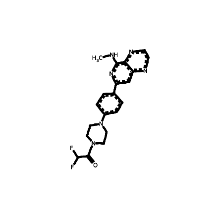 CNc1nc(-c2ccc(N3CCN(C(=O)C(F)F)CC3)cc2)cc2nccnc12